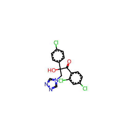 O=C(c1ccc(Cl)cc1Cl)C(O)(Cn1cnnc1)c1ccc(Cl)cc1